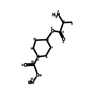 CC(N)C(=O)OC1CCN(C(=O)OC(C)(C)C)CC1